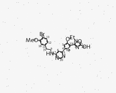 CCOc1cc(-c2cc(NCCc3ccc(Br)c(OC)c3)ncn2)sc1-c1noc(O)n1